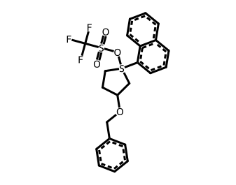 O=S(=O)(OS1(c2cccc3ccccc23)CCC(OCc2ccccc2)C1)C(F)(F)F